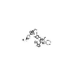 CCC(=O)N[C@H](Cc1ccc(CNC(=O)[C@@H](NC(=O)c2ccnn2CC)C2CCCCCC2)cc1)C(O)N1CCN(C)CC1